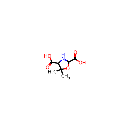 CC1(C)OC(C(=O)O)NC1C(=O)O